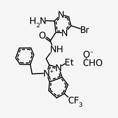 CCn1c(CNC(=O)c2nc(Br)cnc2N)[n+](Cc2ccccc2)c2ccc(C(F)(F)F)cc21.O=C[O-]